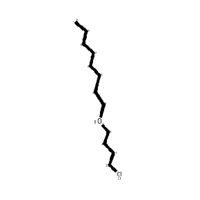 [CH2]CCCCCCCOCCCCCl